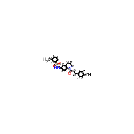 Cc1cccc(S(=O)(=O)Nc2ccc3c(c2)CCCN3C(=O)CCc2ccc(C#N)cc2)c1